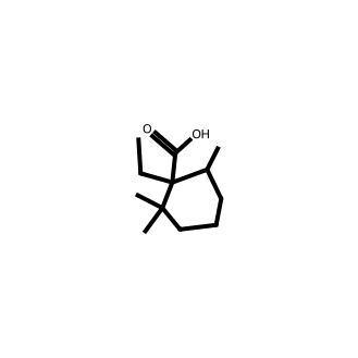 CCC1(C(=O)O)C(C)CCCC1(C)C